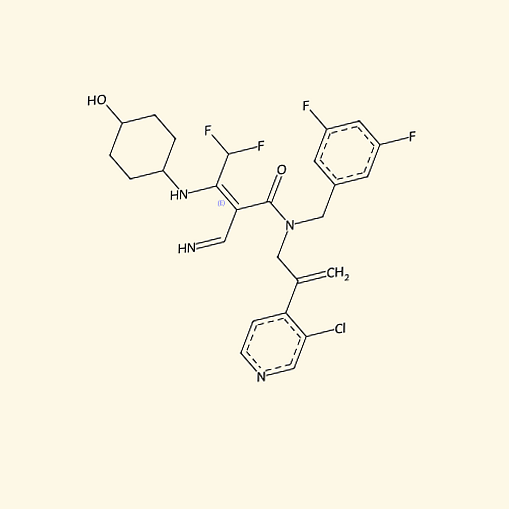 C=C(CN(Cc1cc(F)cc(F)c1)C(=O)/C(C=N)=C(/NC1CCC(O)CC1)C(F)F)c1ccncc1Cl